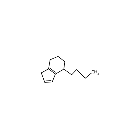 CCCCC1CCCC2=C1C=C[CH]2